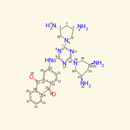 N[C@@H]1C[C@H](N)CN(c2nc(Nc3ccc4c(c3)C(=O)c3ccccc3C4=O)nc(N3C[C@H](N)C[C@H](N)C3)n2)C1